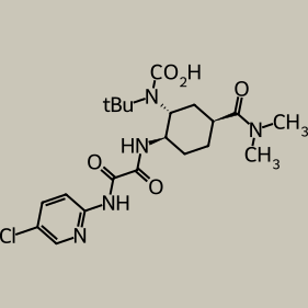 CN(C)C(=O)[C@H]1CC[C@@H](NC(=O)C(=O)Nc2ccc(Cl)cn2)[C@H](N(C(=O)O)C(C)(C)C)C1